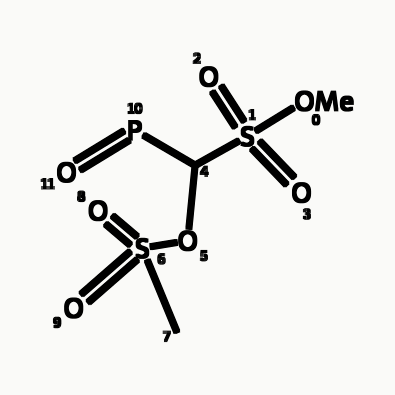 COS(=O)(=O)C(OS(C)(=O)=O)P=O